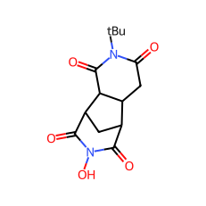 CC(C)(C)N1C(=O)CC2C3CC(C(=O)N(O)C3=O)C2C1=O